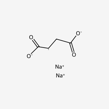 O=C([O-])[CH]CC(=O)[O-].[Na+].[Na+]